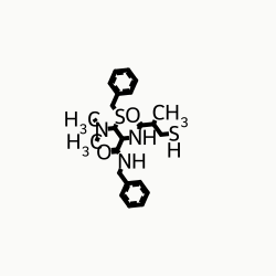 CC(CS)C(=O)NC(C(=O)NCc1ccccc1)C(SCc1ccccc1)N(C)C